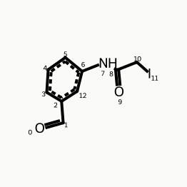 O=Cc1cccc(NC(=O)CI)c1